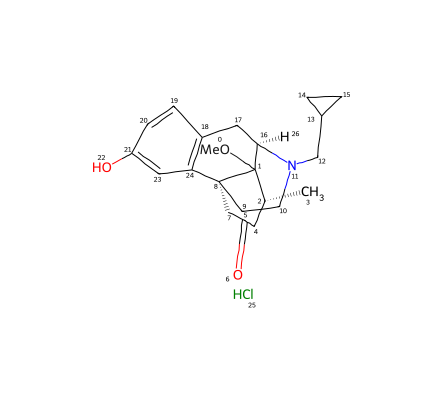 COC12[C@H](C)CC(=O)C[C@@]13CCN(CC1CC1)[C@@H]2Cc1ccc(O)cc13.Cl